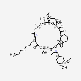 CO[C@H]1C[C@@H](C)[C@@]2(O)O[C@@H]1[C@@H](O)C[C@@H](C)C/C(C)=C/[C@@H](CCCSCCN)C(=O)C[C@H](O)[C@@H](C)[C@@H](/C(C)=C/[C@@H]1CC[C@@H](O)[C@H](OC)C1)OC(=O)[C@@H]1CCCCN1C(=O)C2=O